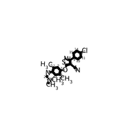 Cc1cc(Oc2snc(-c3ccc(Cl)cc3)c2C#N)c(C)cc1/N=C\N(C)C